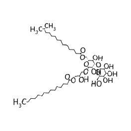 CCCCCCCCCCCCCCC(=O)OC[C@H](O)CO[C@H]1O[C@H](COC(=O)CCCCCCCCCCCC(C)C)[C@@H](O)[C@H](O[C@H]2O[C@H](CO)[C@@H](O)[C@H](O)[C@@H]2O)[C@@H]1O